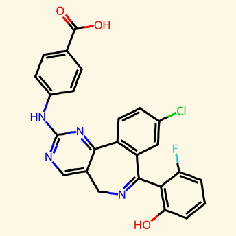 O=C(O)c1ccc(Nc2ncc3c(n2)-c2ccc(Cl)cc2C(c2c(O)cccc2F)=NC3)cc1